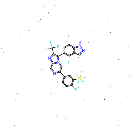 Fc1ccc(-c2cn3c(-c4ccc5[nH]ncc5c4F)c(C(F)(F)F)nc3cn2)cc1S(F)(F)(F)(F)F